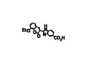 CCOc1cccc2cc(-c3nc4cc(C(=O)O)ccc4[nH]3)c(=O)oc12